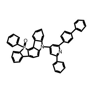 O=P1(c2ccccc2)c2ccccc2-c2ccc3c(c21)c1ccccc1n3-c1cc(-c2ccccc2)nc(-c2ccc(-c3ccccc3)cc2)c1